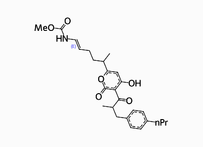 CCCc1ccc(CC(C)C(=O)c2c(O)cc(C(C)CC/C=C/NC(=O)OC)oc2=O)cc1